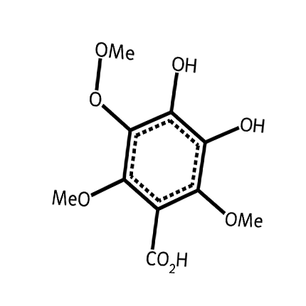 COOc1c(O)c(O)c(OC)c(C(=O)O)c1OC